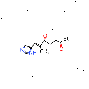 CCC(=O)CCC(=O)/C(C)=C/c1cnc[nH]1